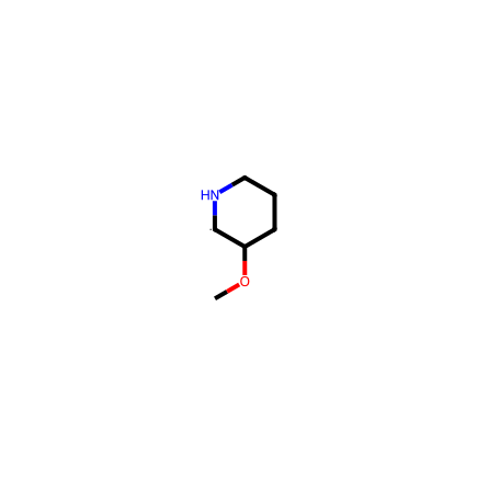 COC1[CH]NCCC1